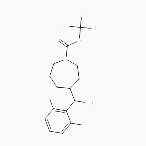 CC(C)(C)OC(=O)N1CCCC(C(O)c2c(F)cccc2Br)CC1